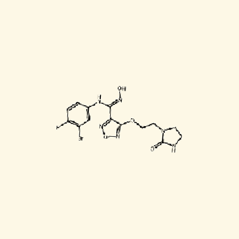 O=C1NCCN1CCOc1nonc1/C(=N/O)Nc1ccc(F)c(Br)c1